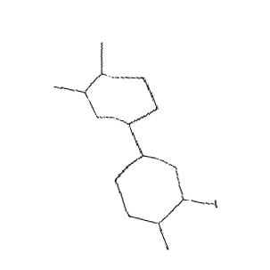 CC1CCC(C2CCC(C)C(I)C2)CC1C